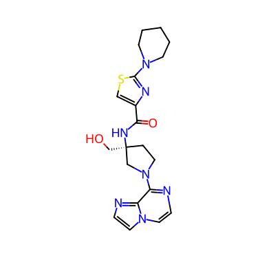 O=C(N[C@@]1(CO)CCN(c2nccn3ccnc23)C1)c1csc(N2CCCCC2)n1